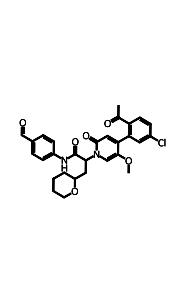 COc1cn(C(CC2CCCCO2)C(=O)Nc2ccc(C=O)cc2)c(=O)cc1-c1cc(Cl)ccc1C(C)=O